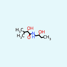 CC[C@H](O)CNC(=O)[C@@H](O)C(C)C